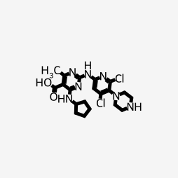 Cc1nc(Nc2cc(Cl)c(N3CCNCC3)c(Cl)n2)nc(NC2CCCC2)c1C(=O)O